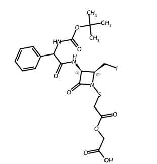 CC(C)(C)OC(=O)NC(C(=O)N[C@@H]1C(=O)N(SCC(=O)OCC(=O)O)[C@@H]1CI)c1ccccc1